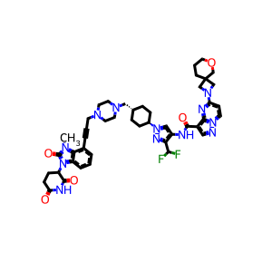 Cn1c(=O)n(C2CCC(=O)NC2=O)c2cccc(C#CCN3CCN(C[C@H]4CC[C@H](n5cc(NC(=O)c6cnn7ccc(N8CC9(CCCOC9)C8)nc67)c(C(F)F)n5)CC4)CC3)c21